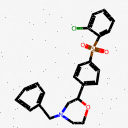 O=S(=O)(c1ccc(C2CN(Cc3ccccc3)CCO2)cc1)c1ccccc1Cl